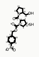 O=C([C@@H]1C[C@H](S)CN1C(=O)OCc1ccc([N+](=O)[O-])cc1)N1CCCC1CO